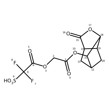 O=C(COC(=O)C(F)(F)S(=O)(=O)O)OC1C2CC3C(=O)OC1C3C2